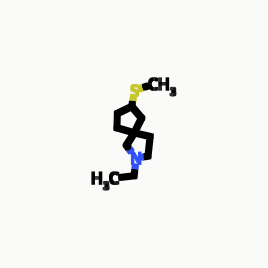 CCN1CCC2(CCC(SC)C2)C1